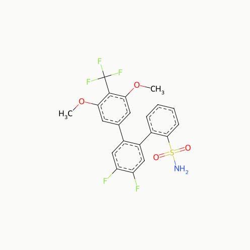 COc1cc(-c2cc(F)c(F)cc2-c2ccccc2S(N)(=O)=O)cc(OC)c1C(F)(F)F